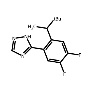 CC(c1cc(F)c(F)cc1-c1ncn[nH]1)C(C)(C)C